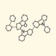 c1ccc(-c2ccccc2-c2cc(-n3c4ccccc4c4ccc(-c5ccc6c7ccccc7n(-c7ccccc7)c6c5)cc43)c3oc4ccccc4c3c2)cc1